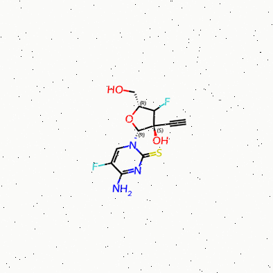 C#C[C@@]1(O)C(F)[C@@H](CO)O[C@H]1n1cc(F)c(N)nc1=S